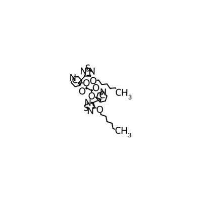 CCCCCCOc1nsnc1C1(OC(=O)C(=O)OC2(c3nsnc3OCCCCCC)CN3CCC2CC3)CN2CCC1CC2